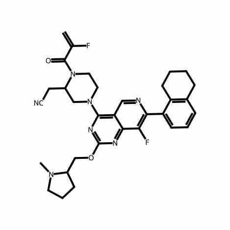 C=C(F)C(=O)N1CCN(c2nc(OCC3CCCN3C)nc3c(F)c(-c4cccc5c4CCCC5)ncc23)CC1CC#N